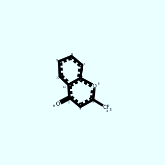 O=c1cc(C(F)(F)F)oc2ccccc12